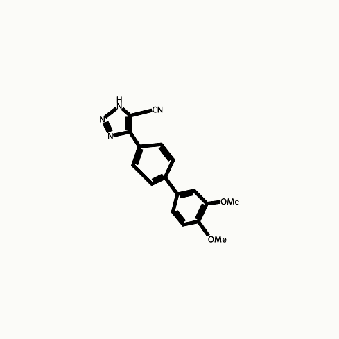 COc1ccc(-c2ccc(-c3nn[nH]c3C#N)cc2)cc1OC